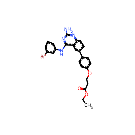 CCOC(=O)CCOc1ccc(-c2ccc3nc(N)nc(Nc4cccc(Br)c4)c3c2)cc1